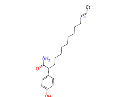 CC/C=C/CCCCCCCCCC(C(N)=O)c1ccc(O)cc1